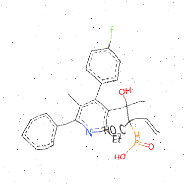 C=CC(C(=O)O)([PH](=O)O)C(C)(O)c1c(CC)nc(-c2ccccc2)c(C)c1-c1ccc(F)cc1